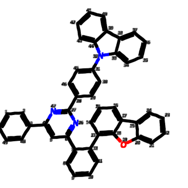 c1ccc(-c2cc(-c3ccccc3-c3cccc4c3oc3ccccc34)nc(-c3ccc(-n4c5ccccc5c5ccccc54)cc3)n2)cc1